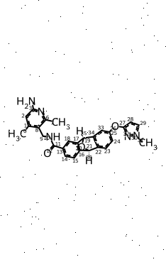 Cc1cc(N)nc(C)c1CNC(=O)c1ccc2c(c1)[C@@H]1O[C@H]2c2ccc(Oc3ccn(C)n3)cc21